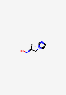 C/C(Cn1ccnc1)=N\O